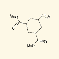 COC(=O)C1CC(C(=O)O)CC(C(=O)OC)C1